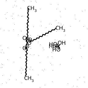 CCCCCCCCCCCCCCCCCC(=O)OCC(COC(=O)CCCCCCCCCCCCCCCCC)OC(=O)CCCCCCCCCCCCCCCCC.OCC(CO)(CO)CO